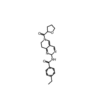 CCc1ccc(C(=O)NC2N=CC3=CN(C(=O)C4CCCO4)CCC3=N2)cc1